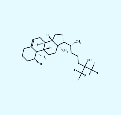 C[C@H](CCCC(O)(C(F)(F)F)C(F)(F)F)[C@H]1CC[C@H]2[C@@H]3CC=C4CCC[C@H](O)[C@]4(C)[C@H]3CC[C@]12C